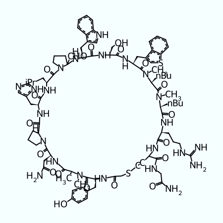 CCCC[C@H]1C(=O)N(C)[C@@H](CCCC)C(=O)N[C@@H](CCCNC(=N)N)C(=O)NC(C(=O)NCC(N)=O)CCSCC(=O)N[C@@H](Cc2ccc(O)cc2)C(=O)N(C)[C@@H](C)C(=O)N[C@@H](CC(N)=O)C(=O)N2CCC[C@H]2C(=O)N[C@@H](Cc2cnc[nH]2)C(=O)N[C@@H](CC(C)C)C(=O)N2CCCC2(C=O)N[C@@H](Cc2c[nH]c3ccccc23)C(=O)N[C@@H](CO)C(=O)N[C@@H](Cc2csc3ccccc23)C(=O)N1C